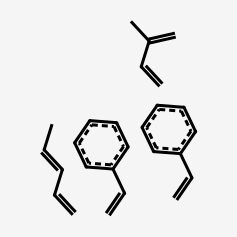 C=CC(=C)C.C=CC=CC.C=Cc1ccccc1.C=Cc1ccccc1